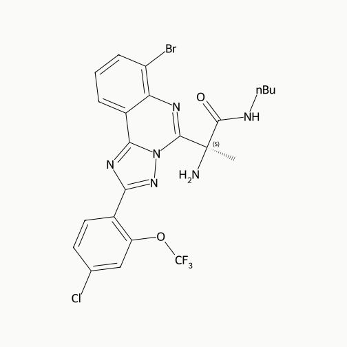 CCCCNC(=O)[C@@](C)(N)c1nc2c(Br)cccc2c2nc(-c3ccc(Cl)cc3OC(F)(F)F)nn12